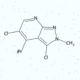 CC(C)c1c(Cl)cnc2nn(C)c(Cl)c12